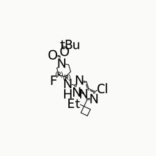 CCC1(c2nc(Cl)c3cnc(N[C@@H]4CCN(C(=O)OC(C)(C)C)C[C@H]4F)nn23)CCC1